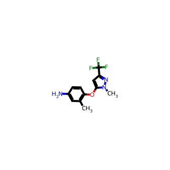 Cc1cc(N)ccc1Oc1cc(C(F)(F)F)nn1C